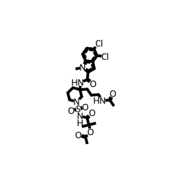 CC(=O)NCCCC1(NC(=O)c2cc3c(Cl)c(Cl)ccc3n2C)CCCN(S(=O)(=O)NC(=O)C(C)(C)OC(C)=O)C1